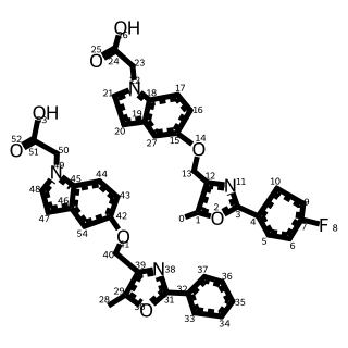 Cc1oc(-c2ccc(F)cc2)nc1COc1ccc2c(ccn2CC(=O)O)c1.Cc1oc(-c2ccccc2)nc1COc1ccc2c(ccn2CC(=O)O)c1